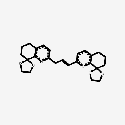 C(=C\c1ccc2c(n1)C1(CCC2)OCCO1)/Cc1ccc2c(n1)C1(CCC2)OCCO1